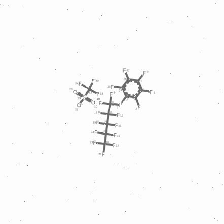 Fc1c(F)c(F)c([I+]C(F)(F)C(F)(F)C(F)(F)C(F)(F)C(F)(F)F)c(F)c1F.O=S(=O)([O-])C(F)(F)F